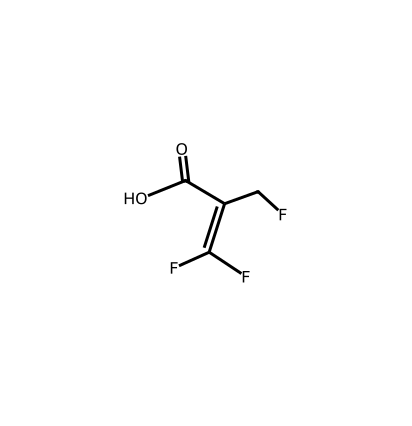 O=C(O)C(CF)=C(F)F